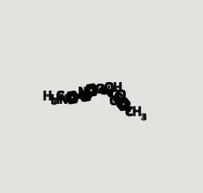 CNc1ccc(-c2ccc3cc(OC[C@H](O)COS(=O)(=O)c4ccc(C)cc4)ccc3n2)cc1